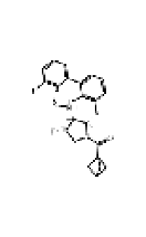 CSN[C@H]1[C@@H](F)CN(C(=O)C23CC(C2)C3)[C@H]1Cc1cccc(-c2cccc(F)c2F)c1F